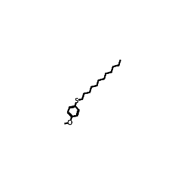 CCCCCCCCCCCCSc1ccc(OC)cc1